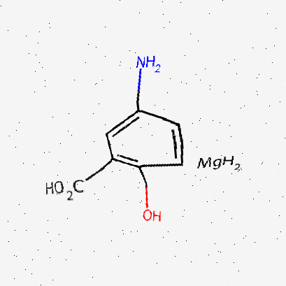 Nc1ccc(O)c(C(=O)O)c1.[MgH2]